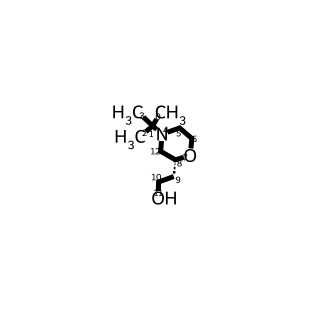 CC(C)(C)N1CCO[C@H](CCO)C1